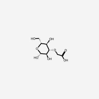 O=C(O)CO[C@@H]1[C@@H](O)[C@H](O)O[C@H](CO)[C@H]1O